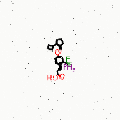 O=C(O)CCc1ccc(OCC2=C(C3CCC3)CCC2)cc1C(F)(F)P